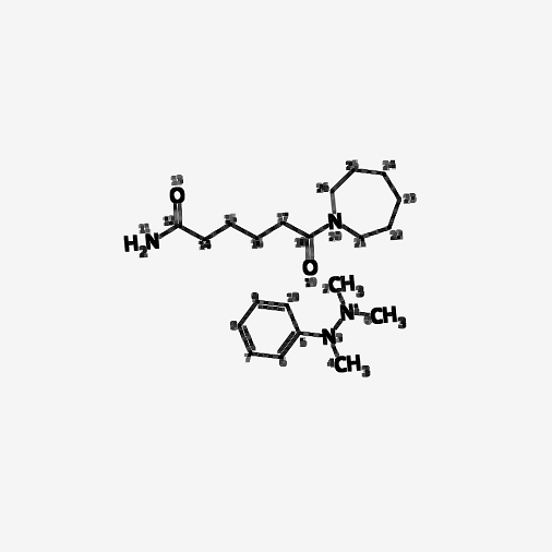 CN(C)N(C)c1ccccc1.NC(=O)CCCCC(=O)N1CCCCCC1